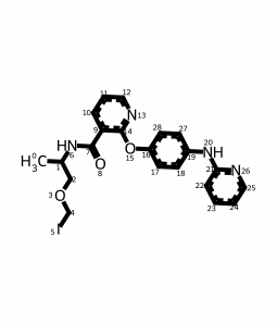 CC(COCI)NC(=O)c1cccnc1Oc1ccc(Nc2ccccn2)cc1